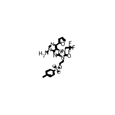 Cc1ccc(S(=O)(=O)OCCN2C(=O)N(CC(F)(F)F)N3C4=C(c5ccco5)N=CN(N)C4=NC23)cc1